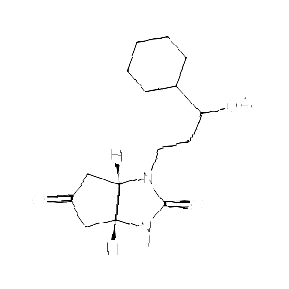 CC(=O)OC(CCN1C(=O)N[C@@H]2CC(=O)C[C@@H]21)C1CCCCC1